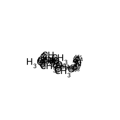 COc1ccc(-c2cc(-c3cc(OC)c(OC)c(OC)c3)nn2C(C)=O)cc1OCCCCCCOc1cccc(-c2nc3ccccc3s2)c1